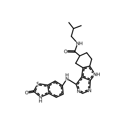 CC(C)CNC(=O)C1CCc2[nH]c3ncnc(Nc4ccc5[nH]c(=O)sc5c4)c3c2C1